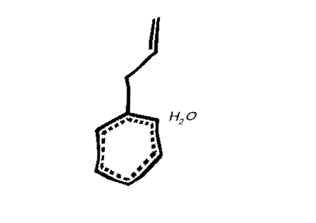 C=CCc1ccccc1.O